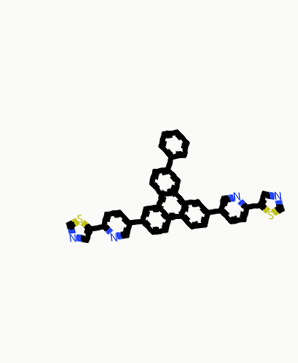 c1ccc(-c2ccc3c4cc(-c5ccc(-c6cncs6)nc5)ccc4c4ccc(-c5ccc(-c6cncs6)nc5)cc4c3c2)cc1